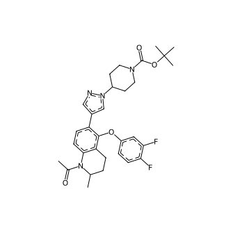 CC(=O)N1c2ccc(-c3cnn(C4CCN(C(=O)OC(C)(C)C)CC4)c3)c(Oc3ccc(F)c(F)c3)c2CCC1C